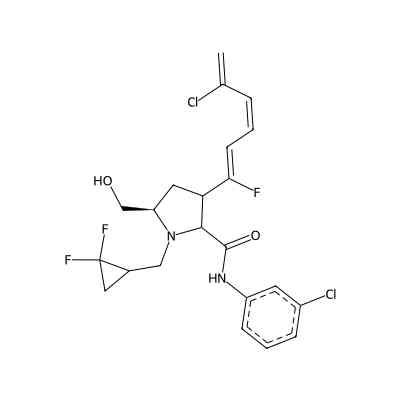 C=C(Cl)/C=C\C=C(/F)C1C[C@H](CO)N(CC2CC2(F)F)C1C(=O)Nc1cccc(Cl)c1